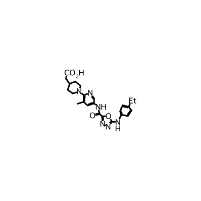 CCc1ccc(Nc2nnc(C(=O)Nc3cnc(N4CCC(CC(=O)O)CC4)c(C)c3)o2)cc1